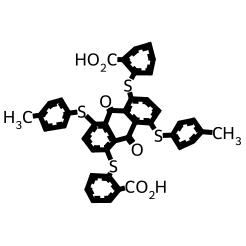 Cc1ccc(Sc2ccc(Sc3ccccc3C(=O)O)c3c2C(=O)c2c(Sc4ccccc4C(=O)O)ccc(Sc4ccc(C)cc4)c2C3=O)cc1